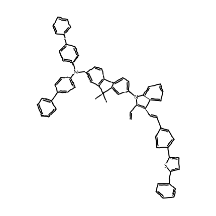 C=Cc1c(/C=C/c2ccc(-c3ccc(-c4ccccc4)s3)cc2)c2ccccc2n1-c1ccc2c(c1)C(C)(C)c1cc(N(c3ccc(-c4ccccc4)cc3)c3ccc(-c4ccccc4)cc3)ccc1-2